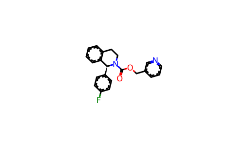 O=C(OCc1cccnc1)N1CCc2ccccc2[C@@H]1c1ccc(F)cc1